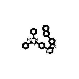 c1ccc(C2=NC(c3ccc(-c4nccc5sc6ccc(-c7ccc8ccccc8c7)cc6c45)cc3)=NC(c3ccccc3)N2)cc1